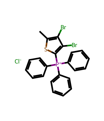 Cc1sc([P+](c2ccccc2)(c2ccccc2)c2ccccc2)c(Br)c1Br.[Cl-]